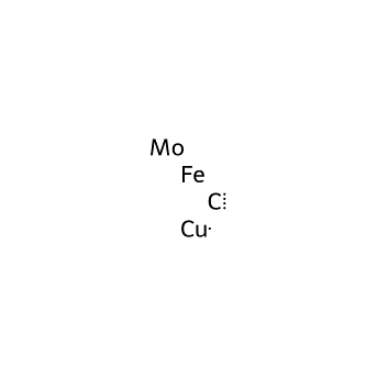 [C].[Cu].[Fe].[Mo]